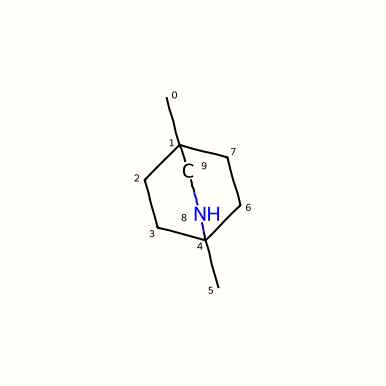 CC12CCC(C)(CC1)NC2